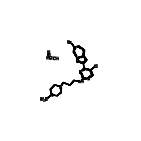 CN1CCN(CCCNc2ncc(Cl)c(-c3cc4ccc(Br)cc4s3)n2)CC1.Cl.Cl.Cl